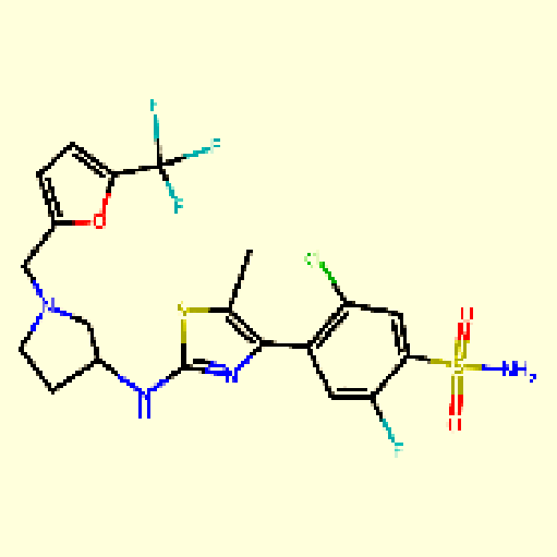 Cc1sc(NC2CCN(Cc3ccc(C(F)(F)F)o3)C2)nc1-c1cc(F)c(S(N)(=O)=O)cc1Cl